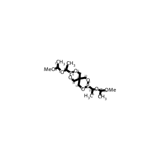 COC(C)OC(C)P1OCC2(CO1)COP(C(C)OC(C)OC)OC2